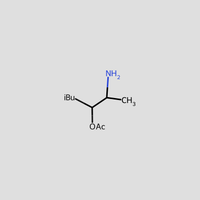 CCC(C)C(OC(C)=O)C(C)N